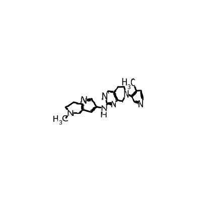 Cc1ccncc1N1CCc2cnc(Nc3cnc4c(c3)CN(C)CC4)nc2C1